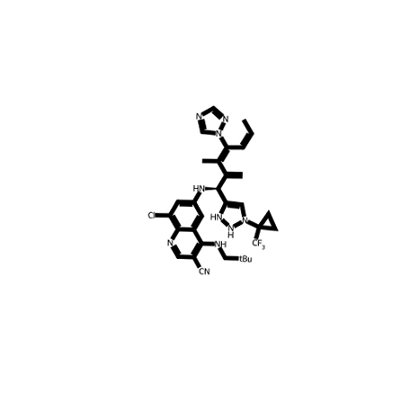 C=C(/C(C)=C(\C=C/C)n1cncn1)[C@H](Nc1cc(Cl)c2ncc(C#N)c(NCC(C)(C)C)c2c1)C1=CN(C2(C(F)(F)F)CC2)NN1